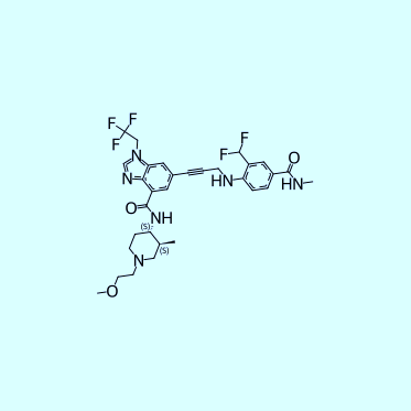 CNC(=O)c1ccc(NCC#Cc2cc(C(=O)N[C@H]3CCN(CCOC)C[C@@H]3C)c3ncn(CC(F)(F)F)c3c2)c(C(F)F)c1